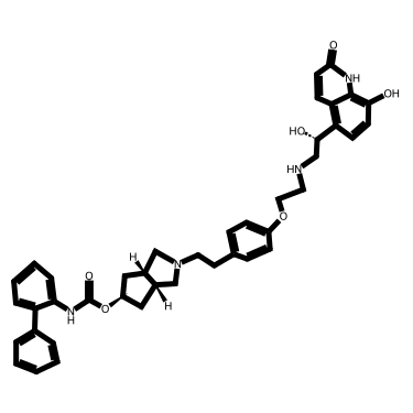 O=C(Nc1ccccc1-c1ccccc1)O[C@H]1C[C@@H]2CN(CCc3ccc(OCCNC[C@H](O)c4ccc(O)c5[nH]c(=O)ccc45)cc3)C[C@@H]2C1